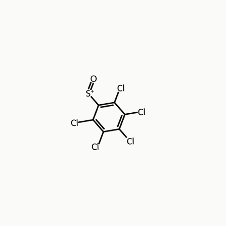 O=[S+]c1c(Cl)c(Cl)c(Cl)c(Cl)c1Cl